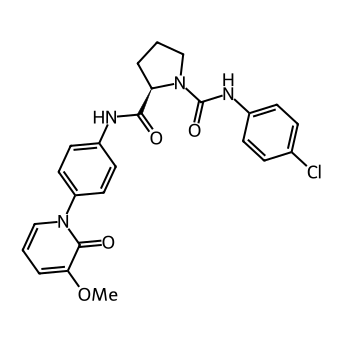 COc1cccn(-c2ccc(NC(=O)[C@H]3CCCN3C(=O)Nc3ccc(Cl)cc3)cc2)c1=O